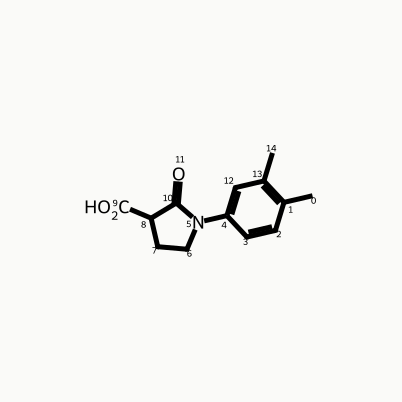 Cc1ccc(N2CCC(C(=O)O)C2=O)cc1C